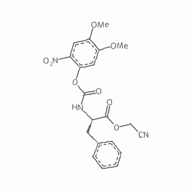 COc1cc(OC(=O)N[C@H](Cc2ccccc2)C(=O)OCC#N)c([N+](=O)[O-])cc1OC